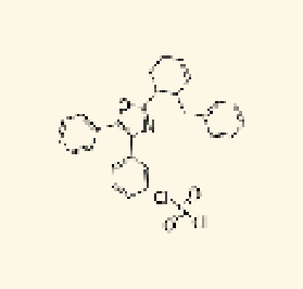 C1=CC(Cc2ccccc2)C(c2nc(-c3ccccc3)c(-c3ccccc3)o2)CC1.O=S(=O)(Cl)Cl